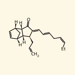 C=CC[C@@H]1/C(=C\C=C\C/C=C\CC)C(=O)[C@@H]2[C@H]1[C@@H]1C=C[C@H]2C1